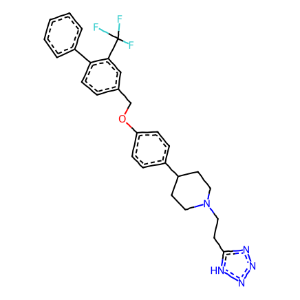 FC(F)(F)c1cc(COc2ccc(C3CCN(CCc4nnn[nH]4)CC3)cc2)ccc1-c1ccccc1